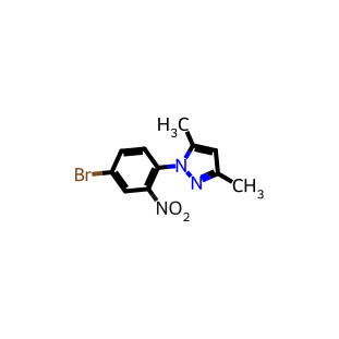 Cc1cc(C)n(-c2ccc(Br)cc2[N+](=O)[O-])n1